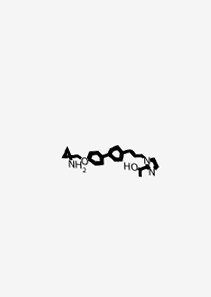 CC(O)c1nccn1CC=Cc1ccc(-c2ccc(OCC3(N)CC3)cc2)cc1